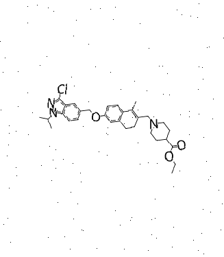 CCOC(=O)C1CCN(CC2=C(C)c3ccc(OCc4ccc5c(c4)c(Cl)nn5C(C)C)cc3CC2)CC1